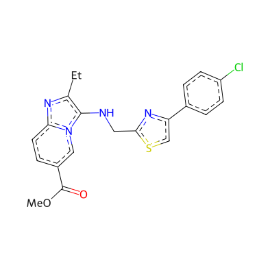 CCc1nc2ccc(C(=O)OC)cn2c1NCc1nc(-c2ccc(Cl)cc2)cs1